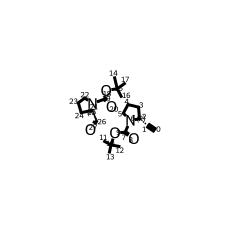 C#C[C@H]1CCCN1C(=O)OC(C)(C)C.CC(C)(C)OC(=O)N1CCC[C@@H]1C=O